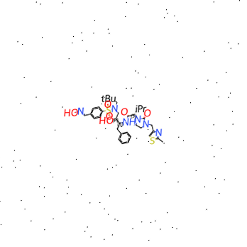 Cc1nc(CN2CCN([C@H](C(=O)N[C@@H](Cc3ccccc3)[C@H](O)CN(CC(C)(C)C)S(=O)(=O)c3ccc(C=NO)cc3)C(C)C)C2=O)cs1